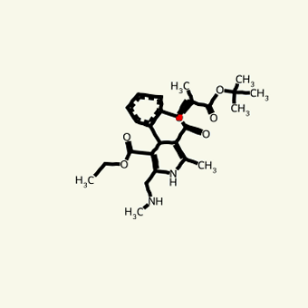 CCOC(=O)C1=C(C)NC(CNC)=C(C(=O)OCC)C1c1ccccc1/C=C/C(=O)OC(C)(C)C